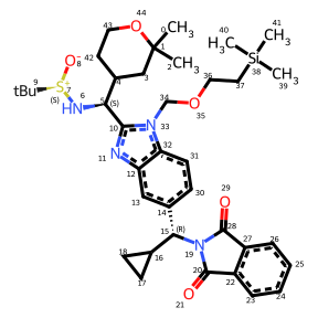 CC1(C)CC([C@H](N[S@+]([O-])C(C)(C)C)c2nc3cc([C@@H](C4CC4)N4C(=O)c5ccccc5C4=O)ccc3n2COCC[Si](C)(C)C)CCO1